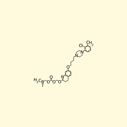 CB(I)COC(=O)OCOC1=Nc2cc(OCCCCN3CCN(c4cccc(C)c4Cl)CC3)ccc2CC1